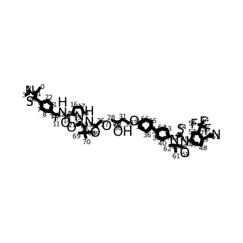 Cc1ncsc1-c1ccc([C@H](C)NC(=O)[C@@H]2CCCN2C(=O)C(NC(=O)COC[C@H](O)CCOc2ccc(-c3ccc(N4C(=S)N(c5ccc(C#N)c(C(F)(F)F)c5)C(=O)C4(C)C)cc3)cc2)C(C)(C)C)cc1